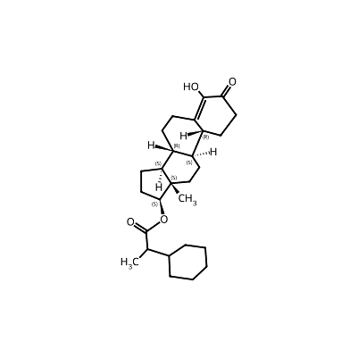 CC(C(=O)O[C@H]1CC[C@H]2[C@@H]3CCC4=C(O)C(=O)CC[C@@H]4[C@H]3CC[C@]12C)C1CCCCC1